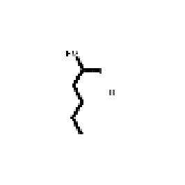 CCCCC(O)F.[H+]